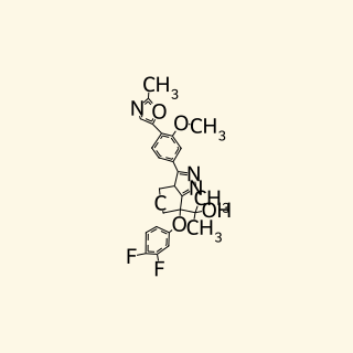 COc1cc(C2=NN=C3C2CCCC3(Oc2ccc(F)c(F)c2)C(C)(C)O)ccc1-c1cnc(C)o1